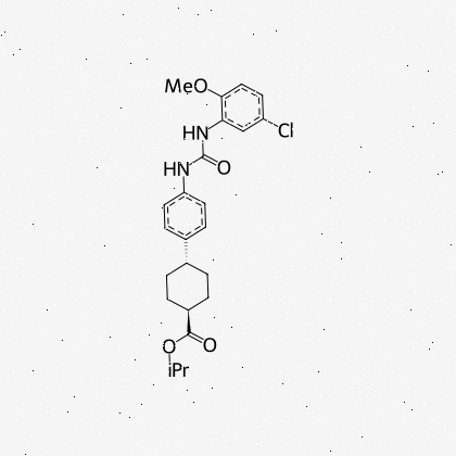 COc1ccc(Cl)cc1NC(=O)Nc1ccc([C@H]2CC[C@H](C(=O)OC(C)C)CC2)cc1